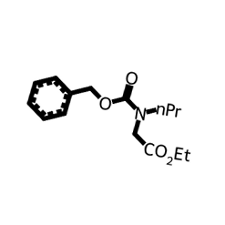 CCCN(CC(=O)OCC)C(=O)OCc1ccccc1